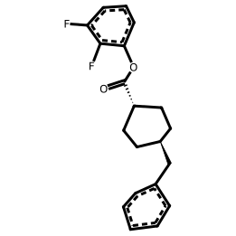 O=C(Oc1cccc(F)c1F)[C@H]1CC[C@H](Cc2ccccc2)CC1